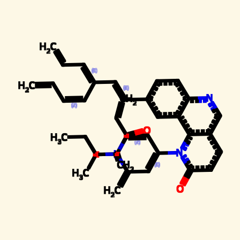 C=C\C=C/C(/C=C/c1ccc2ncc3ccc(=O)n(C(/C=C\C(=C)CC)=C/C(=C)N(CCC)C(=O)C=C)c3c2c1)=C\C=C